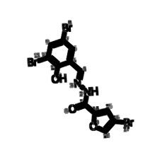 O=C(NN=Cc1cc(Br)cc(Br)c1O)c1cc(Br)co1